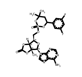 CC1(C)CC(c2cc(F)cc(F)c2)OP(=O)(OC[C@H]2O[C@@H](n3cnc4c(N)ncnc43)[C@]3(C)OC(=O)O[C@H]23)O1